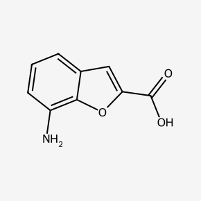 Nc1cccc2cc(C(=O)O)oc12